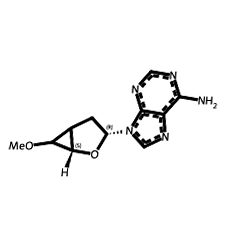 COC1C2C[C@H](n3cnc4c(N)ncnc43)O[C@@H]21